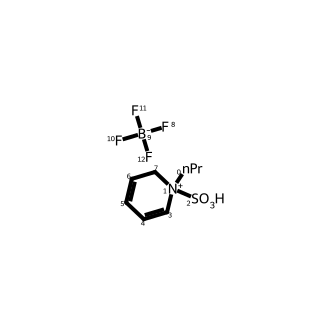 CCC[N+]1(S(=O)(=O)O)C=CC=CC1.F[B-](F)(F)F